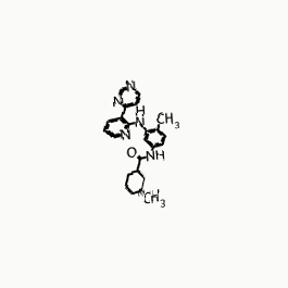 Cc1ccc(NC(=O)C2CCC[C@@H](C)C2)cc1Nc1ncccc1-c1ccncn1